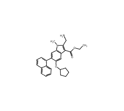 CCOC(=O)c1c(CN)n(C)c2cc(-c3cccc4ccccc34)c(OC3CCCC3)cc12